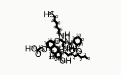 CCCCC[C@@H](CC[C@@H]1[C@H]2Cc3cccc(OCC(=O)O)c3C[C@H]2C[C@H]1O)OC(=O)[C@@H]1CCCC[C@@H]1C(=O)NC(CN)C(=O)NCCCCCCS